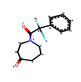 O=C1CCCN(C(=O)C(F)(F)c2ccccc2)CC1